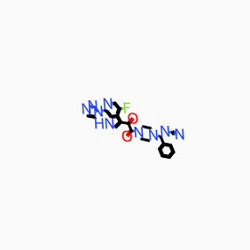 N#CN=C(c1ccccc1)N1CCN(C(=O)C(=O)c2c[nH]c3c(-n4ccnn4)ncc(F)c23)CC1